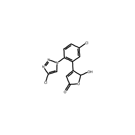 O=C1C=C(c2cc(Cl)ccc2-n2cc(Cl)nn2)C(O)O1